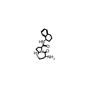 N[C@H]1CCS[C@H]2CCC(C(=O)N[C@@H]3CCCc4ccccc43)N2C1=O